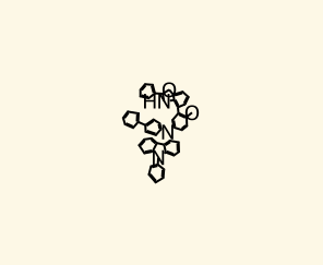 c1ccc(-c2ccc(N(c3ccc4oc5ccc6c(c5c4c3)NC(c3ccccc3)O6)c3cccc4c3c3ccccc3n4-c3ccccc3)cc2)cc1